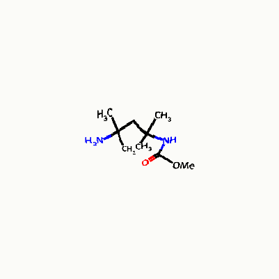 COC(=O)NC(C)(C)CC(C)(C)N